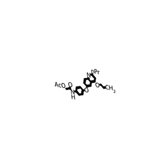 C=CCOc1cc(CCC)nc2ccc(Oc3ccc(NC(=O)COC(C)=O)cc3)cc12